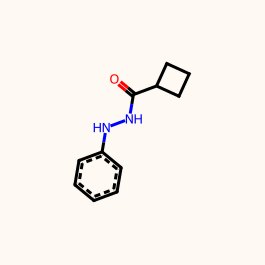 O=C(NNc1ccccc1)C1CCC1